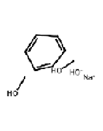 CO.CO.[Na+].[OH-].c1ccccc1